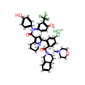 COc1ccc(N(C(=O)c2cc(-c3cc(Cl)ccc3C(=O)N3Cc4ccccc4C[C@H]3CN3CCOCC3)n3c2CCCC3)c2ccc(O)cc2)cc1C(F)(F)F.Cl